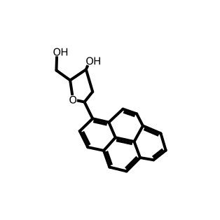 OCC1OC(c2ccc3ccc4cccc5ccc2c3c45)CC1O